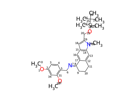 COc1ccc(CN=C2CCCc3cc4c(cc32)cc(CO[Si](C)(C)C(C)(C)C)n4C)c(OC)c1